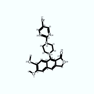 COc1cc2cc3c(c(N4CCN(c5ncc(Br)cn5)CC4)c2cc1OC)C(=O)OC3